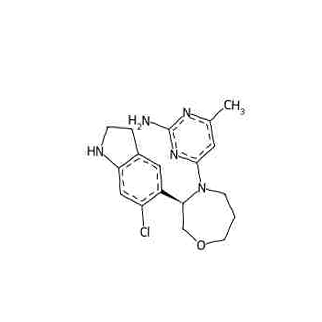 Cc1cc(N2CCCOC[C@H]2c2cc3c(cc2Cl)NCC3)nc(N)n1